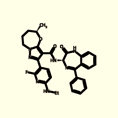 CCNc1ccc(-c2nn3c(c2C(=O)N[C@H]2N=C(c4ccccc4)c4ccccc4NC2=O)O[C@@H](C)CCC3)c(F)n1